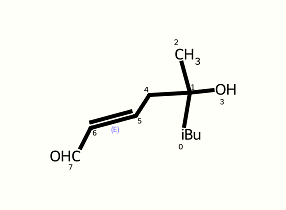 CCC(C)C(C)(O)C/C=C/C=O